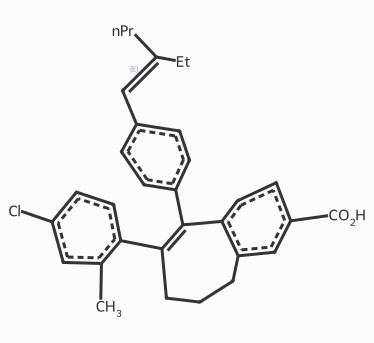 CCC/C(=C/c1ccc(C2=C(c3ccc(Cl)cc3C)CCCc3cc(C(=O)O)ccc32)cc1)CC